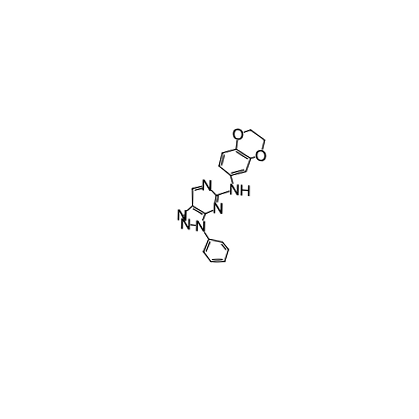 c1ccc(-n2nnc3cnc(Nc4ccc5c(c4)OCCO5)nc32)cc1